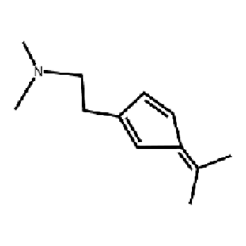 CC(C)=C1C=CC(CCN(C)C)=C1